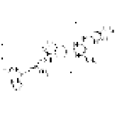 C=N/C(=C\C=C(/C)CNC(=O)[C@@H]1CC[C@@H](c2nc(C)cc(Nc3cc(C)[nH]n3)n2)C[C@@H]1C)n1cccn1